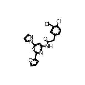 O=C(Cc1ccc(Cl)c(Cl)c1)Nc1cc(-n2cccn2)nc(-c2ccco2)n1